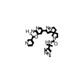 C[C@@H](Oc1cc(-c2cc3n(n2)CCC32CCN(C(=O)NC(C)(C)c3cn(C)nn3)C2)cnc1N)c1cccnc1